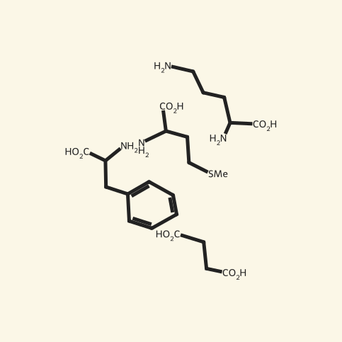 CSCCC(N)C(=O)O.NC(Cc1ccccc1)C(=O)O.NCCCC(N)C(=O)O.O=C(O)CCC(=O)O